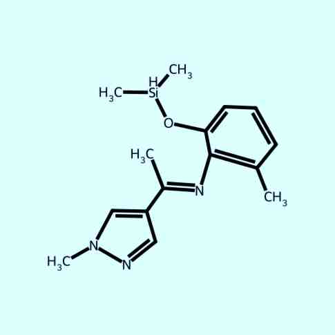 CC(=Nc1c(C)cccc1O[SiH](C)C)c1cnn(C)c1